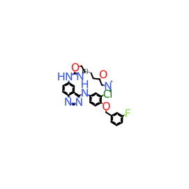 CN(C)CC(=O)CC[C@H]1COC(Nc2ccc3ncnc(Nc4ccc(OCc5cccc(F)c5)c(Cl)c4)c3c2)=N1